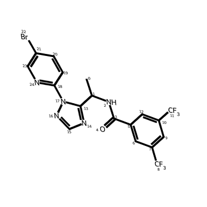 CC(NC(=O)c1cc(C(F)(F)F)cc(C(F)(F)F)c1)c1ncnn1-c1ccc(Br)cn1